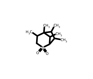 CC1C(C)C2(C)C(C)CS(=O)(=O)C1C2C